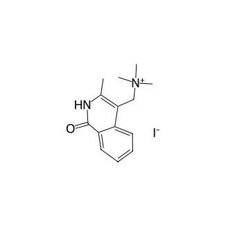 Cc1[nH]c(=O)c2ccccc2c1C[N+](C)(C)C.[I-]